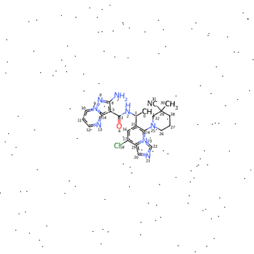 CC(NC(=O)c1c(N)nn2cccnc12)c1cc(Cl)c2cncn2c1N1CCCC(C)(C#N)C1